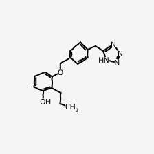 CCCc1c(O)[c]ccc1OCc1ccc(Cc2nnn[nH]2)cc1